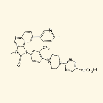 Cc1ccc(-c2ccc3ncc4c(c3c2)n(-c2ccc(N3CCN(c5ncc(C(=O)O)cn5)CC3)c(C(F)(F)F)c2)c(=O)n4C)cn1